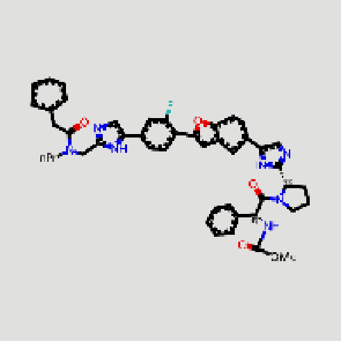 CCCN(Cc1ncc(-c2ccc(-c3cc4cc(-c5cnc([C@@H]6CCCN6C(=O)[C@H](NC(=O)OC)c6ccccc6)[nH]5)ccc4o3)c(F)c2)[nH]1)C(=O)Cc1ccccc1